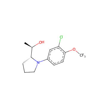 C[C@@H](O)[C@H]1CCCN1c1ccc(OC(F)(F)F)c(Cl)c1